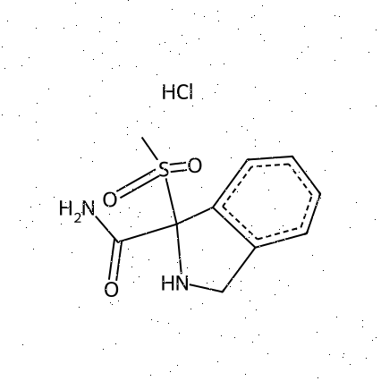 CS(=O)(=O)C1(C(N)=O)NCc2ccccc21.Cl